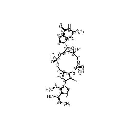 C=Nc1c(/C(N)=N\C)ncn1[C@@H]1O[C@@H]2CO[P@@](=O)(S)OC3C(O)[C@@H](COP(=O)(O)OC2C1F)O[C@H]3n1cnc2c(=O)[nH]c(N)nc21